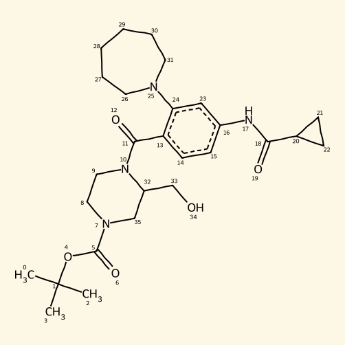 CC(C)(C)OC(=O)N1CCN(C(=O)c2ccc(NC(=O)C3CC3)cc2N2CCCCCC2)C(CO)C1